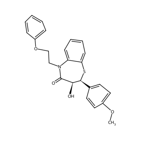 COc1ccc([C@@H]2Sc3ccccc3N(CCOc3ccccc3)C(=O)[C@@H]2O)cc1